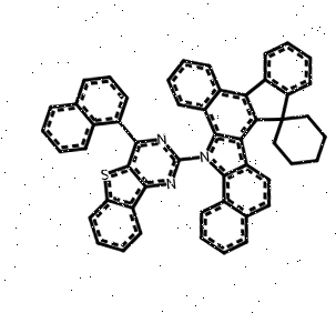 c1ccc2c(c1)-c1c(c3c4ccc5ccccc5c4n(-c4nc(-c5cccc6ccccc56)c5sc6ccccc6c5n4)c3c3ccccc13)C21CCCCC1